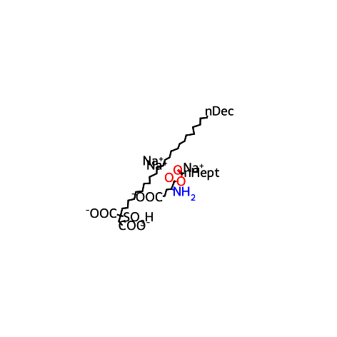 CCCCCCCC(=O)OC(=O)[C@@H](N)CCC(=O)[O-].CCCCCCCCCCCCCCCCCCCCCCCCCCCCCCCCCCC(CC(=O)[O-])(C(=O)[O-])S(=O)(=O)O.[Na+].[Na+].[Na+]